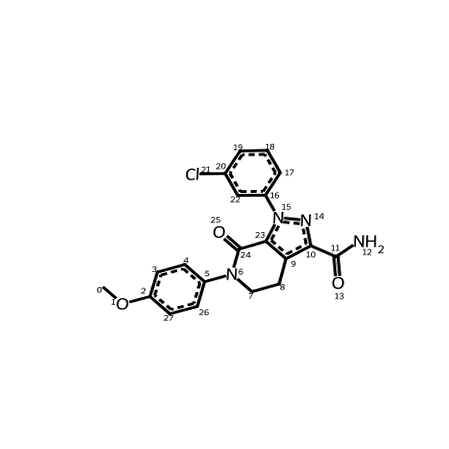 COc1ccc(N2CCc3c(C(N)=O)nn(-c4cccc(Cl)c4)c3C2=O)cc1